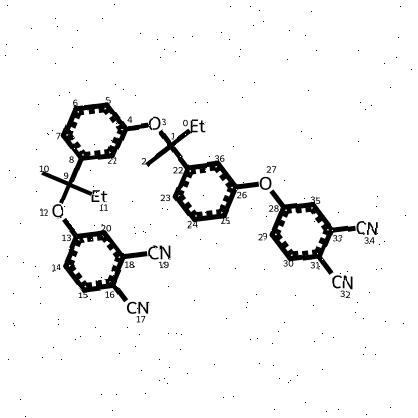 CCC(C)(Oc1cccc(C(C)(CC)Oc2ccc(C#N)c(C#N)c2)c1)c1cccc(Oc2ccc(C#N)c(C#N)c2)c1